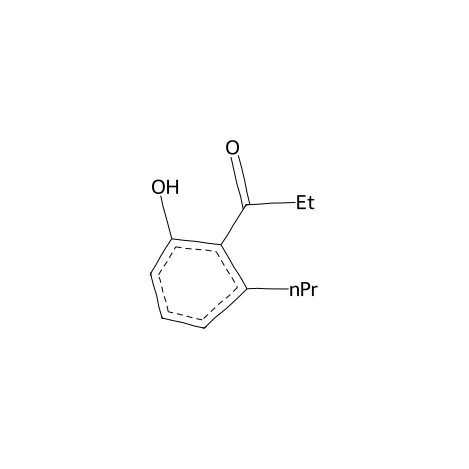 CCCc1cccc(O)c1C(=O)CC